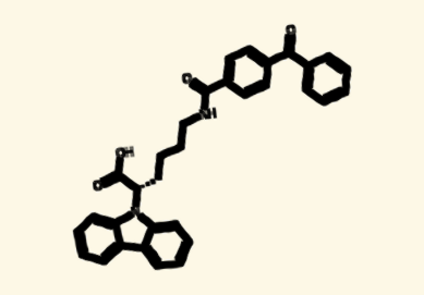 O=C(NCCCC[C@@H](C(=O)O)n1c2ccccc2c2ccccc21)c1ccc(C(=O)c2ccccc2)cc1